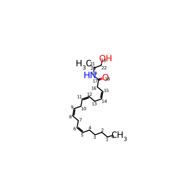 CCCCC/C=C\C/C=C\C/C=C\C/C=C\CC(=O)N[C@H](C)CO